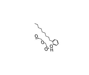 C(OCC1CO1)C1CO1.CCCCCCCCCc1ccccc1O